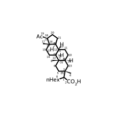 CCCCCCC(C(=O)O)[C@]1(C)CC[C@@]2(C)[C@@H](CC[C@@H]3[C@@H]2CC[C@]2(C)[C@@H](C(C)=O)CC[C@@H]32)C1